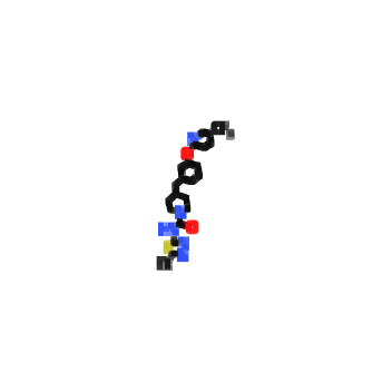 CCc1nnc(NC(=O)N2CCC(=Cc3cccc(Oc4ccc(C(F)(F)F)cn4)c3)CC2)s1